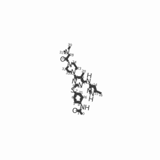 CC(=O)Nc1ccc(Sc2nc(Nc3cc(C)[nH]n3)c(C)c(N3CCN(C(=O)CN(C)C)CC3)n2)cc1